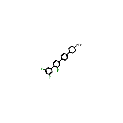 CCCC1CCC(c2ccc(-c3ccc(-c4cc(F)cc(F)c4)c(F)c3)cc2)CC1